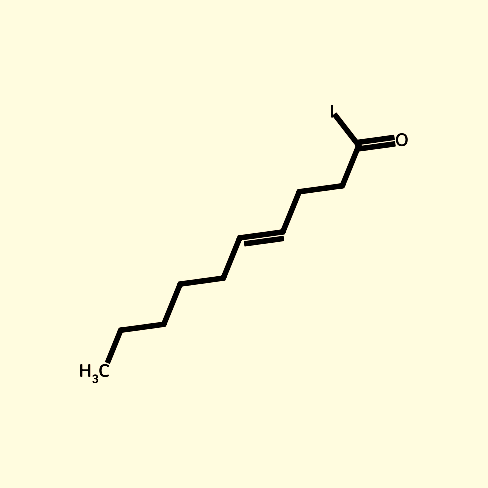 CCCCC/C=C/CCC(=O)I